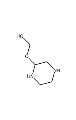 OCOC1CNCCN1